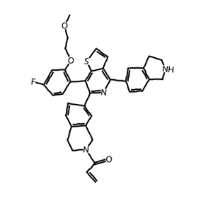 C=CC(=O)N1CCc2ccc(-c3nc(-c4ccc5c(c4)CCNC5)c4ccsc4c3-c3ccc(F)cc3OCCOC)cc2C1